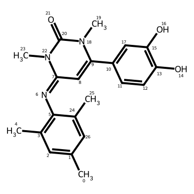 Cc1cc(C)c(N=c2cc(-c3ccc(O)c(O)c3)n(C)c(=O)n2C)c(C)c1